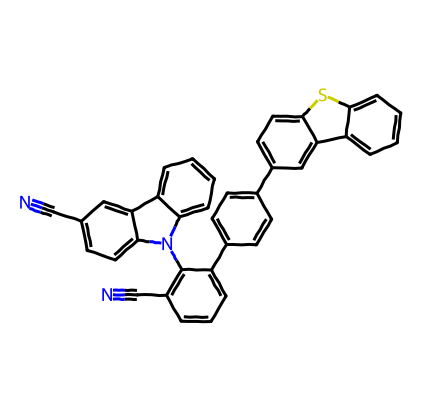 N#Cc1ccc2c(c1)c1ccccc1n2-c1c(C#N)cccc1-c1ccc(-c2ccc3sc4ccccc4c3c2)cc1